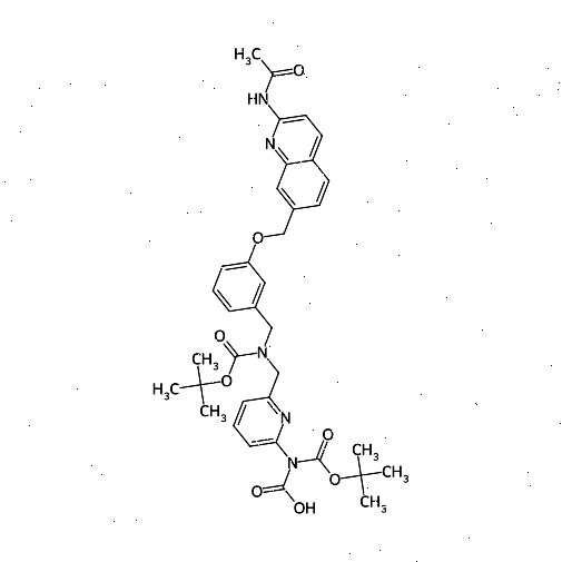 CC(=O)Nc1ccc2ccc(COc3cccc(CN(Cc4cccc(N(C(=O)O)C(=O)OC(C)(C)C)n4)C(=O)OC(C)(C)C)c3)cc2n1